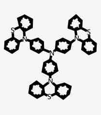 c1ccc2c(c1)Sc1ccccc1N2c1ccc(N(c2ccc(N3c4ccccc4Sc4ccccc43)cc2)c2ccc(N3c4ccccc4Sc4ccccc43)cc2)cc1